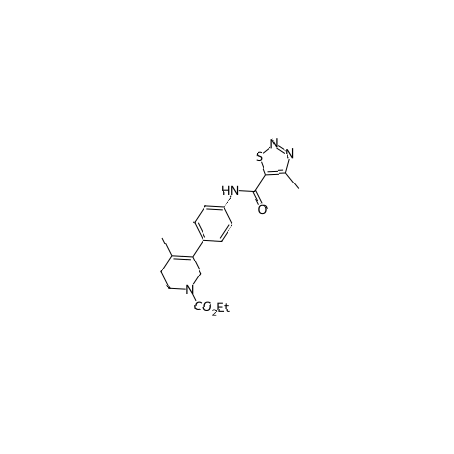 CCOC(=O)N1CCC(C)=C(c2ccc(NC(=O)c3snnc3C)cc2)C1